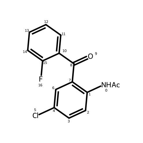 CC(=O)Nc1ccc(Cl)cc1C(=O)c1ccccc1F